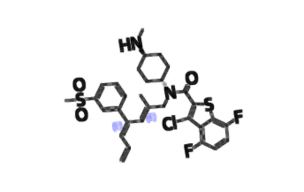 C=C/C=C(\C=C(/C)CN(C(=O)c1sc2c(F)ccc(F)c2c1Cl)[C@H]1CC[C@H](NC)CC1)c1cccc(S(C)(=O)=O)c1